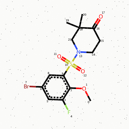 COc1c(F)cc(Br)cc1S(=O)(=O)N1CCC(=O)C(C)(C)C1